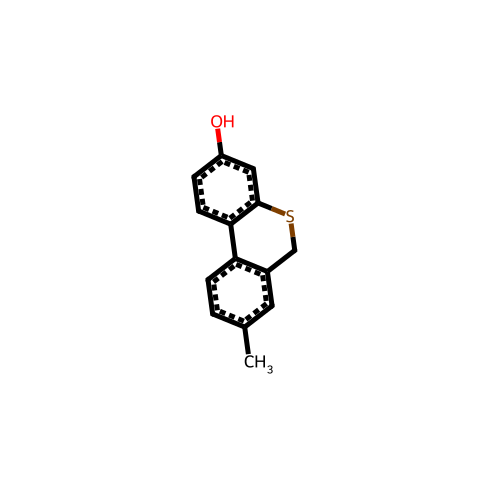 Cc1ccc2c(c1)CSc1cc(O)ccc1-2